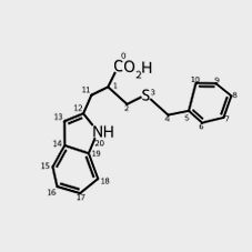 O=C(O)C(CSCc1ccccc1)Cc1cc2ccccc2[nH]1